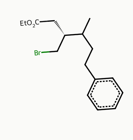 CCOC(=O)C[C@@H](CBr)C(C)CCc1ccccc1